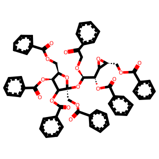 O=C(CO[C@H](O[C@]1(COC(=O)c2ccccc2)O[C@H](COC(=O)c2ccccc2)[C@H](OC(=O)c2ccccc2)C1OC(=O)c1ccccc1)[C@@H](OC(=O)c1ccccc1)C1O[C@@H]1COC(=O)c1ccccc1)c1ccccc1